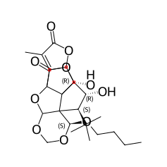 CCCCO[C@H]1OCOC2OC34C(=O)OC5[C@H](O)[C@@H](C(C)(C)C)C21C53[C@@H](O)C1OC(=O)C(C)=C14